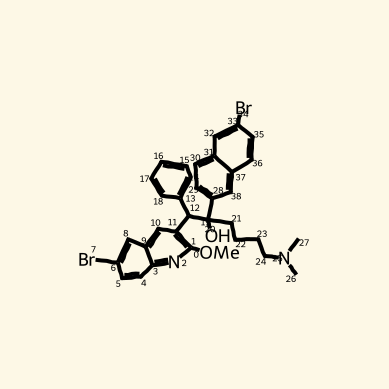 COc1nc2ccc(Br)cc2cc1C(c1ccccc1)C(O)(CCCCN(C)C)c1ccc2cc(Br)ccc2c1